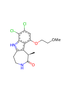 COCCOc1cc(Cl)c(Cl)c2[nH]c3c(c12)[C@@H](C)C(=O)NCC3